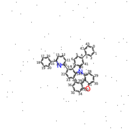 c1ccc(-c2ccc3c4c(-c5cccc(-c6ccccc6)n5)cccc4n(-c4cccc5oc6ccccc6c45)c3c2)cc1